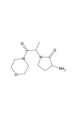 CC(C(=O)N1CCOCC1)N1CCC(N)C1=O